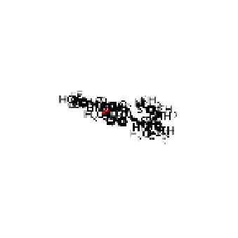 Cc1ncsc1-c1ccc([C@H](C)NC(=O)[C@@H]2C[C@@H](O)CN2C(=O)C(NC(=O)CCCCNC(=O)CC(=O)N2CCN(C(=O)C(NC(=O)c3cc4cc(C(F)(F)P(=O)(O)O)ccc4s3)C(C)(C)C)C(C(=O)N3CCCC(c4ccccc4)C3)C2)C(C)(C)C)cc1